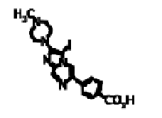 CN1CCN(c2nc3cnc(-c4ccc(C(=O)O)cc4)cn3c2I)CC1